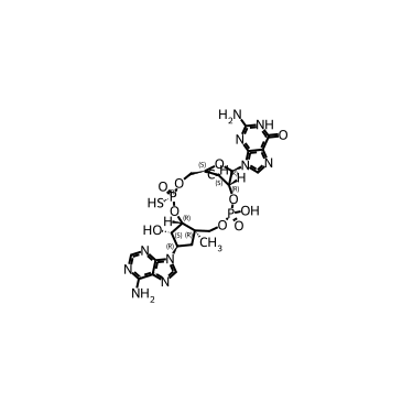 C[C@@]12COP(=O)(O)O[C@H]3[C@H](n4cnc5c(=O)[nH]c(N)nc54)O[C@@]4(CO[P@@](=O)(S)O[C@H]1[C@@H](O)[C@H](n1cnc5c(N)ncnc51)C2)C[C@@H]34